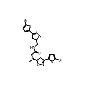 CN(CC(=O)NCC1CC(c2ccc(Br)s2)=NO1)C1CC(c2ccc(Br)s2)=NO1